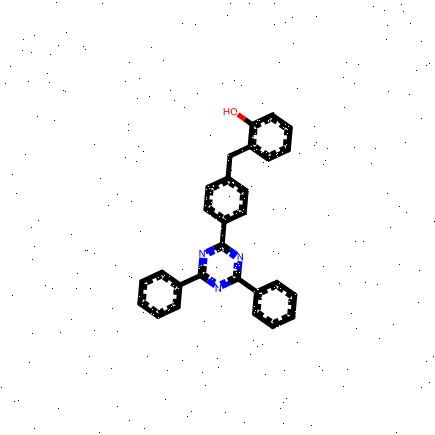 Oc1ccccc1Cc1ccc(-c2nc(-c3ccccc3)nc(-c3ccccc3)n2)cc1